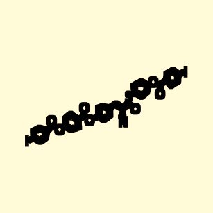 N#C/C(=C\c1ccc(OC(=O)c2ccc(OC(=O)c3ccc(I)cc3)cc2)cc1)C(=O)Sc1ccc(OC(=O)c2ccc(I)cc2)cc1